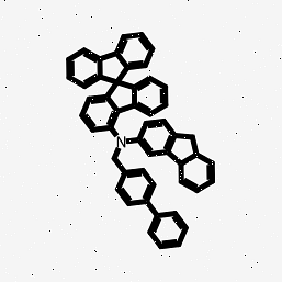 C1=CC2Cc3ccc(N(Cc4ccc(-c5ccccc5)cc4)c4cccc5c4-c4ccccc4C54c5ccccc5-c5ccccc54)cc3C2C=C1